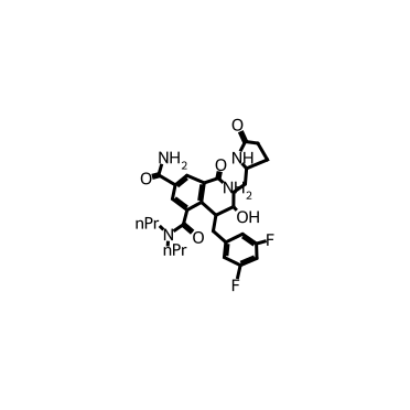 CCCN(CCC)C(=O)c1cc(C(N)=O)cc(C(N)=O)c1C(Cc1cc(F)cc(F)c1)C(O)CCC1CCC(=O)N1